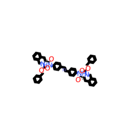 O=C(Nc1ccc(/C=C/c2ccc(NC(=O)[C@@H]3Cc4ccccc4CN3C(=O)OCc3ccccc3)cc2)cc1)[C@@H]1Cc2ccccc2CN1C(=O)OCc1ccccc1